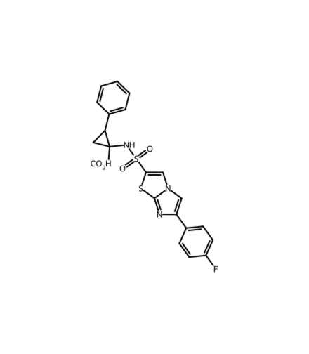 O=C(O)C1(NS(=O)(=O)c2cn3cc(-c4ccc(F)cc4)nc3s2)CC1c1ccccc1